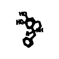 Oc1cc2c(cc1O)C(Br)(Cc1ccccc1)NCC2